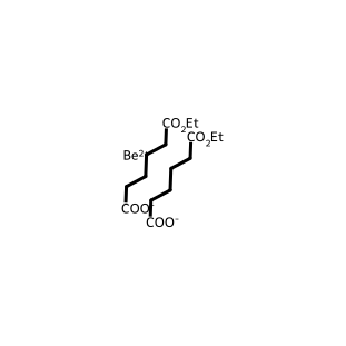 CCOC(=O)CCCCC(=O)[O-].CCOC(=O)CCCCC(=O)[O-].[Be+2]